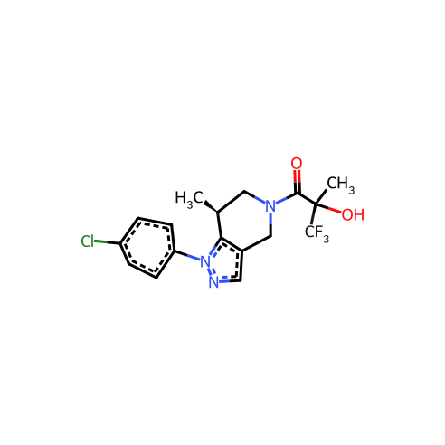 C[C@H]1CN(C(=O)C(C)(O)C(F)(F)F)Cc2cnn(-c3ccc(Cl)cc3)c21